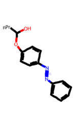 CCCC(O)Oc1ccc(/N=N/c2ccccc2)cc1